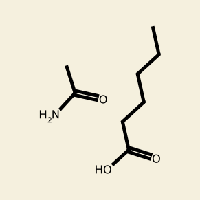 CC(N)=O.CCCCCC(=O)O